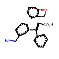 NCc1cccc(/C(=C/C(=O)O)c2ccccc2)c1.c1ccc2c(c1)CO2